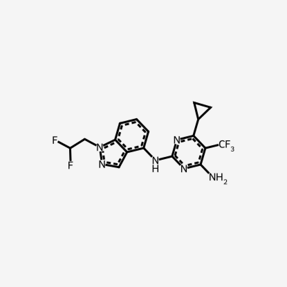 Nc1nc(Nc2cccc3c2cnn3CC(F)F)nc(C2CC2)c1C(F)(F)F